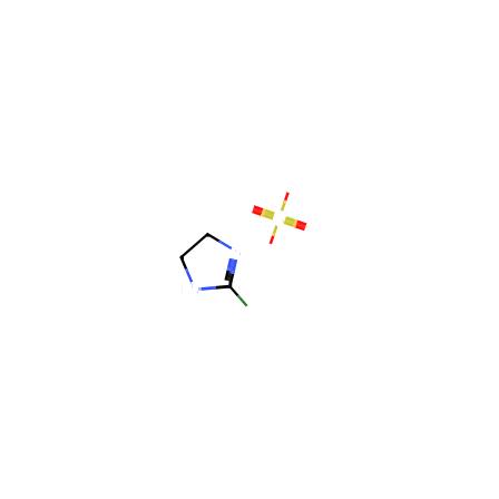 ClC1=NCCN1.O=S(=O)(O)O